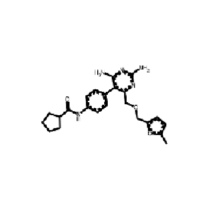 Cc1ccc(COCc2nc(N)nc(N)c2-c2ccc(NC(=O)C3CCCC3)cc2)o1